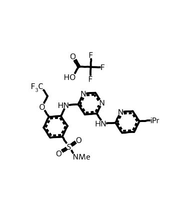 CNS(=O)(=O)c1ccc(OCC(F)(F)F)c(Nc2cc(Nc3ccc(C(C)C)cn3)ncn2)c1.O=C(O)C(F)(F)F